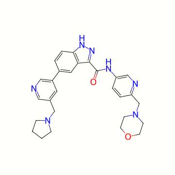 O=C(Nc1ccc(CN2CCOCC2)nc1)c1n[nH]c2ccc(-c3cncc(CN4CCCC4)c3)cc12